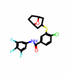 O=C(Nc1cc(F)c(F)c(F)c1)c1ccc(Cl)c(SC2CC3CCC(C2)O3)c1